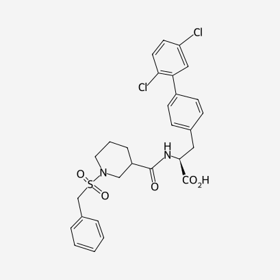 O=C(N[C@@H](Cc1ccc(-c2cc(Cl)ccc2Cl)cc1)C(=O)O)C1CCCN(S(=O)(=O)Cc2ccccc2)C1